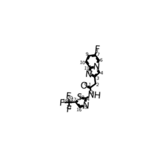 O=C(Cc1cn2cc(F)ccc2n1)Nc1ncc(C(F)(F)F)s1